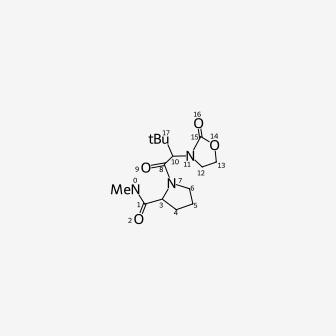 CNC(=O)C1CCCN1C(=O)C(N1CCOC1=O)C(C)(C)C